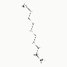 CCCCNCCCCCCCN